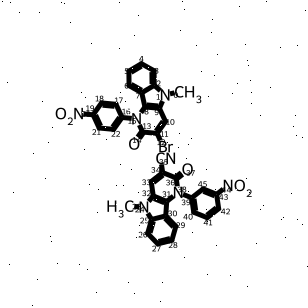 Cn1c2ccccc2c2c1cc(Br)c(=O)n2-c1ccc([N+](=O)[O-])cc1.Cn1c2ccccc2c2c1cc(C#N)c(=O)n2-c1cccc([N+](=O)[O-])c1